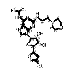 CCc1cc([C@H]2O[C@@H](n3cnc4c(NC(CC)CC)nc(NCCN5CCOCC5)nc43)[C@H](O)[C@@H]2O)on1